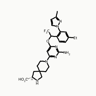 CCc1ccc(C(Oc2cc(N3CCC4(CC3)CN[C@H](C(=O)O)C4)nc(N)n2)C(F)(F)F)c(-n2ccc(C)n2)c1